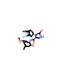 COc1cc(NC(=O)C2=CNC(=O)C[C@@H]2c2cccc(F)c2)c(Br)cc1C